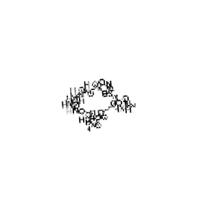 COc1cc2c(cc1OCCCCCOc1cc3c(cc1OC)C(=O)N1CC4(CC4)C[C@H]1C(O)N3C(=O)OCc1ccc(NC(=O)[C@H](C)NC(=O)[C@@H](NC(=O)CNC(=O)CNC(=O)CCC(=O)N3Cc4ccccc4-c4c(nnn4C(C)S)-c4ccccc43)C(C)C)cc1)NC[C@@H]1CC3(CC3)CN1C2=O